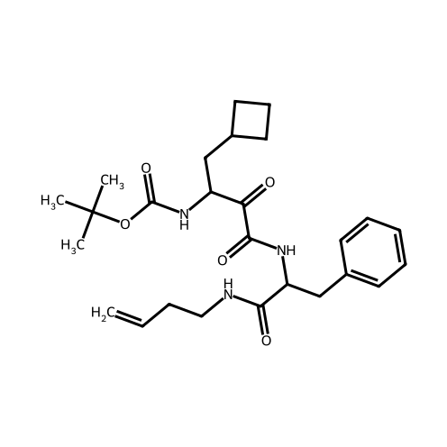 C=CCCNC(=O)C(Cc1ccccc1)NC(=O)C(=O)C(CC1CCC1)NC(=O)OC(C)(C)C